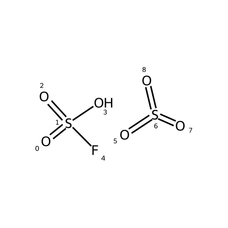 O=S(=O)(O)F.O=S(=O)=O